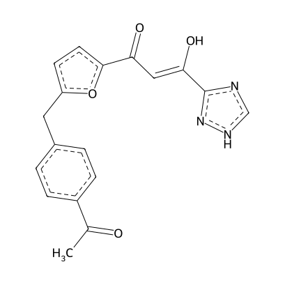 CC(=O)c1ccc(Cc2ccc(C(=O)C=C(O)c3nc[nH]n3)o2)cc1